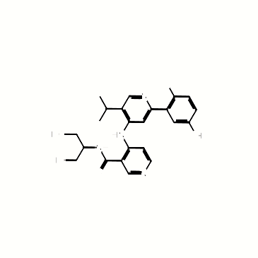 CC(C)c1cnc(-c2cc(O)ccc2F)cc1Nc1ccncc1C(=O)NC(CO)CO